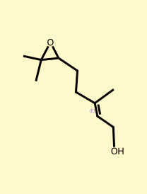 C/C(=C\CO)CCC1OC1(C)C